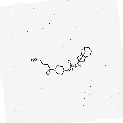 O=C(NC1CCN(C(=O)CCCO)CC1)NC12CC3CCCC(C1)C(C3)C2